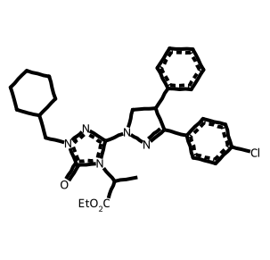 CCOC(=O)C(C)n1c(N2CC(c3ccccc3)C(c3ccc(Cl)cc3)=N2)nn(CC2CCCCC2)c1=O